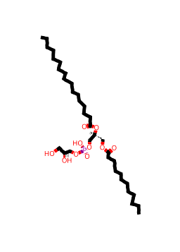 CCCCCCCCCCCCCCCCC(=O)O[C@H](COC(=O)CCCCCCCCCCC)COP(=O)(O)OC[C@@H](O)CO